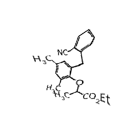 CCOC(=O)C(C)Oc1c(C)cc(C)cc1Cc1ccccc1C#N